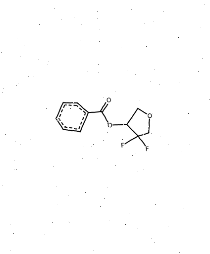 O=C(OC1COCC1(F)F)c1ccccc1